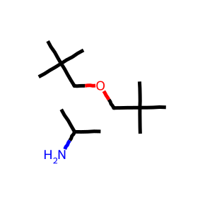 CC(C)(C)COCC(C)(C)C.CC(C)N